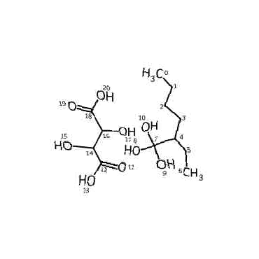 CCCCC(CC)C(O)(O)O.O=C(O)C(O)C(O)C(=O)O